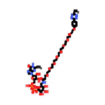 Cc1nnc(-c2ccc(OCCOCCOCCOCCOCCOCCOCCOCCOCCC(=O)NCC3O[C@H](OP(=O)(O)OP(=O)(O)OC[C@H]4O[C@@H](n5cnc6c(=O)[nH]c(C)nc65)C(O)[C@H]4O)C(O)[C@@H](O)[C@@H]3O)cc2)nn1